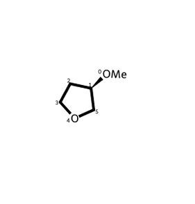 [CH2]O[C@@H]1CCOC1